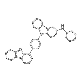 c1ccc(Nc2ccc3c(c2)c2ccccc2n3-c2ccc(-c3cccc4c3oc3ccccc34)cc2)cc1